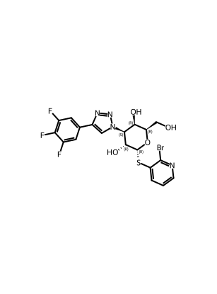 OC[C@H]1O[C@H](Sc2cccnc2Br)[C@H](O)[C@@H](n2cc(-c3cc(F)c(F)c(F)c3)nn2)[C@H]1O